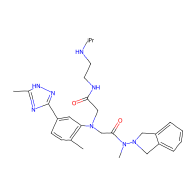 Cc1nc(-c2ccc(C)c(N(CC(=O)NCCNC(C)C)CC(=O)N(C)N3Cc4ccccc4C3)c2)n[nH]1